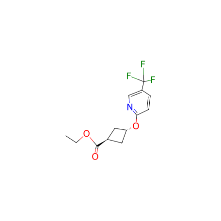 CCOC(=O)[C@H]1C[C@H](Oc2ccc(C(F)(F)F)cn2)C1